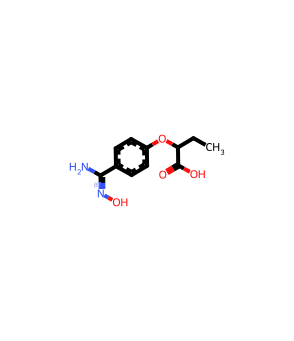 CCC(Oc1ccc(/C(N)=N\O)cc1)C(=O)O